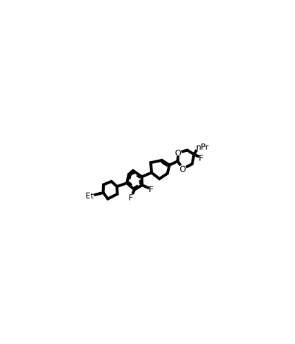 CCCC1(F)COC(C2=CCC(c3ccc(C4CCC(CC)CC4)c(F)c3F)CC2)OC1